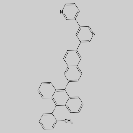 Cc1ccccc1-c1c2ccccc2c(-c2ccc3cc(-c4cncc(-c5cccnc5)c4)ccc3c2)c2ccccc12